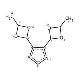 CC1OC(c2ncsc2C2OC(C)O2)O1